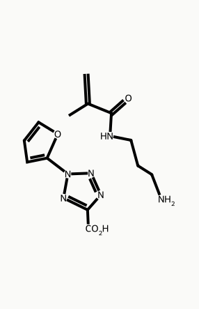 C=C(C)C(=O)NCCCN.O=C(O)c1nnn(-c2ccco2)n1